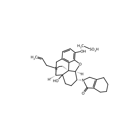 C=CCN1CC[C@]23c4c5ccc(O)c4O[C@H]2[C@H](N2CC4=C(CCCC4)C2=O)CCC3(O)[C@H]1C5.CS(=O)(=O)O